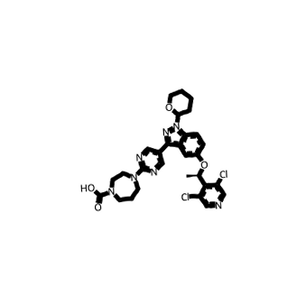 C[C@@H](Oc1ccc2c(c1)c(-c1cnc(N3CCCN(C(=O)O)CC3)nc1)nn2C1CCCCO1)c1c(Cl)cncc1Cl